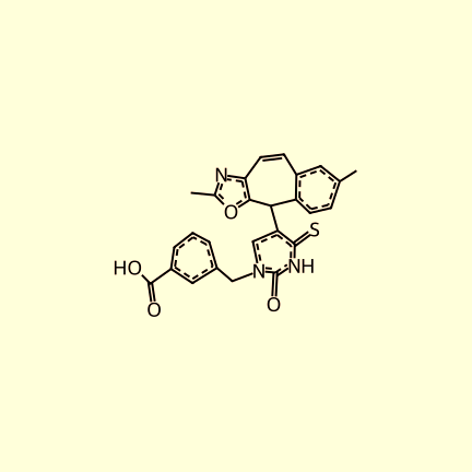 Cc1ccc2c(c1)C=Cc1nc(C)oc1C2c1cn(Cc2cccc(C(=O)O)c2)c(=O)[nH]c1=S